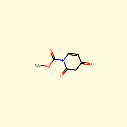 CC(C)(C)OC(=O)N1C=CC(=O)CC1=O